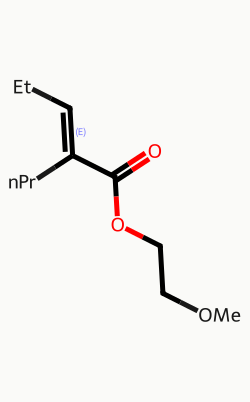 CC/C=C(\CCC)C(=O)OCCOC